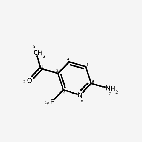 CC(=O)c1ccc(N)nc1F